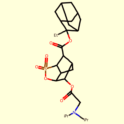 CCC1(OC(=O)C2C3CC4C(OS(=O)(=O)C42)C3OC(=O)CN(C(C)C)C(C)C)C2CC3CC(C2)CC1C3